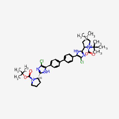 CC(C)(C)OC(=O)N1CCC[C@H]1c1nc(Cl)c(-c2ccc(-c3ccc(-c4[nH]c(C5C[Si](C)(C)C[N+]5(C(=O)[O-])C(C)(C)C)nc4Cl)cc3)cc2)[nH]1